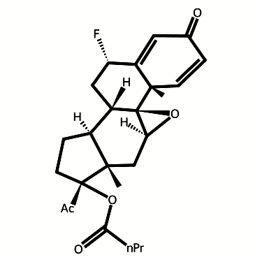 CCCC(=O)O[C@]1(C(C)=O)CC[C@H]2[C@@H]3C[C@H](F)C4=CC(=O)C=C[C@]4(C)[C@@]34O[C@H]4C[C@@]21C